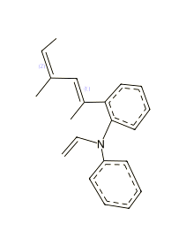 C=CN(c1ccccc1)c1ccccc1/C(C)=C/C(C)=C\C